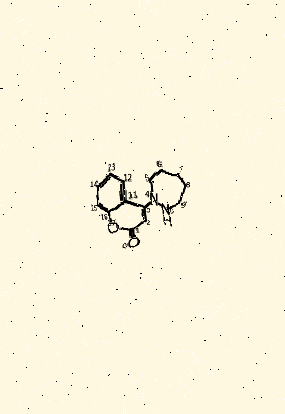 O=c1cc(N2CCCCCN2)c2ccccc2o1